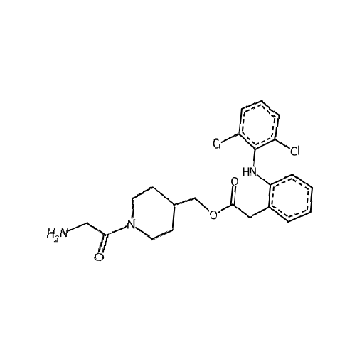 NCC(=O)N1CCC(COC(=O)Cc2ccccc2Nc2c(Cl)cccc2Cl)CC1